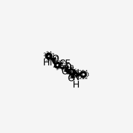 O=C(Nc1ccc(CCS(=O)(=O)N2CCC3(CC2)N=C(C2CCCCC2)NC3=O)c(C(F)(F)F)c1)c1ccccc1